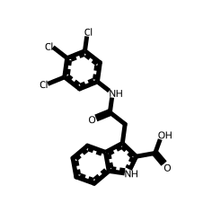 O=C(Cc1c(C(=O)O)[nH]c2ccccc12)Nc1cc(Cl)c(Cl)c(Cl)c1